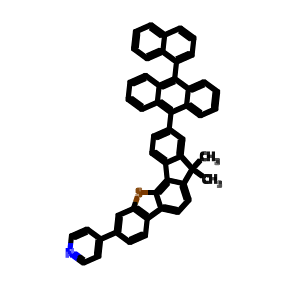 CC1(C)c2cc(-c3c4ccccc4c(-c4cccc5ccccc45)c4ccccc34)ccc2-c2c1ccc1c2sc2cc(-c3ccncc3)ccc21